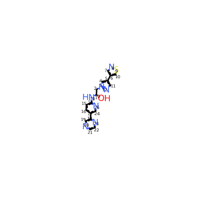 OC(Cn1cc(-c2cnsc2)cn1)Nc1ccc(-c2cnccn2)cn1